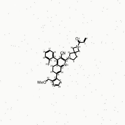 C=CC(=O)N1CC2(CCN(c3nc4c(c(-c5ccccc5F)c3C#N)CCC(c3scnc3COC)=C4)C2)C1